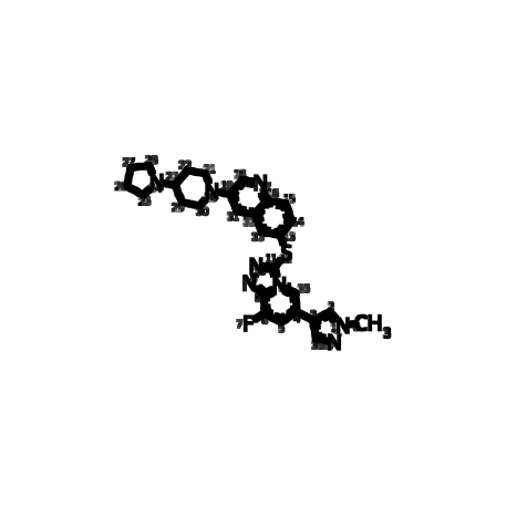 Cn1cc(-c2cc(F)c3nnc(Sc4ccc5ncc(N6CCC(N7CCCC7)CC6)cc5c4)n3c2)cn1